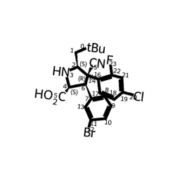 CC(C)(C)C[C@@H]1N[C@H](C(=O)O)[C@H](c2cccc(Br)c2)[C@@]1(C#N)c1ccc(Cl)cc1F